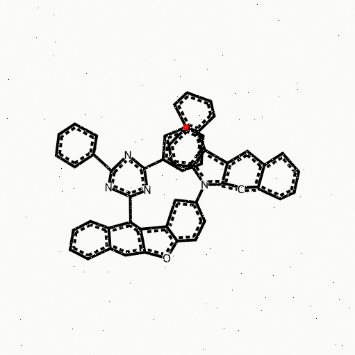 c1ccc(-c2nc(-c3ccccc3)nc(-c3c4ccccc4cc4oc5ccc(-n6c7cc8ccccc8cc7c7c8ccccc8ccc76)cc5c34)n2)cc1